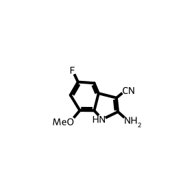 COc1cc(F)cc2c(C#N)c(N)[nH]c12